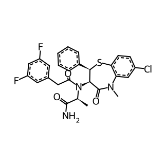 C[C@@H](C(N)=O)N(C(=O)Cc1cc(F)cc(F)c1)[C@@H]1C(=O)N(C)c2cc(Cl)ccc2S[C@@H]1c1ccccc1